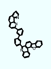 c1cc(-c2cccc(-c3nc4ccccc4c4c3ccc3c5ccccc5oc34)c2)cc(-c2ccc3ccc4cccnc4c3n2)c1